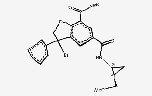 CCC1(c2ccccc2)COc2c(C(=O)NC)cc(C(=O)N[C@@H]3C[C@H]3COC)cc21